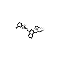 CC(C)CN(Cc1ccc(C=NNC(=O)C2=CCCC(Cl)=C2)c2ccccc12)N1CCC[C@H]1C(=O)O